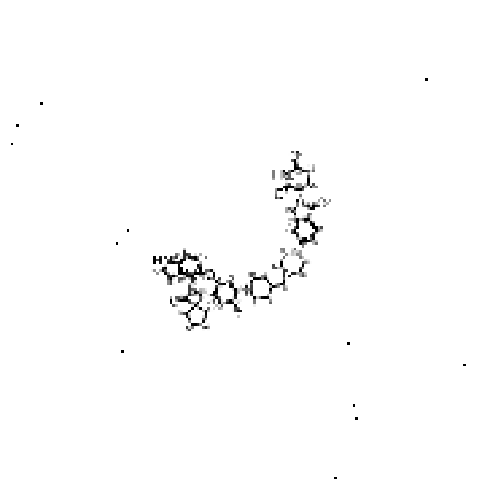 COc1cc(N2CCC(CN3CCN(c4ccc5c(c4)CN([C@H]4CCC(=O)NC4=O)C5=O)CC3)CC2)c(F)cc1[C@@H]1N(c2ccnc3[nH]ccc23)C(=O)C12CCCC2